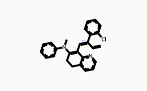 C=C/C(=C\C1=C(N(C)c2ccccc2)CCc2cccnc21)c1ccccc1Cl